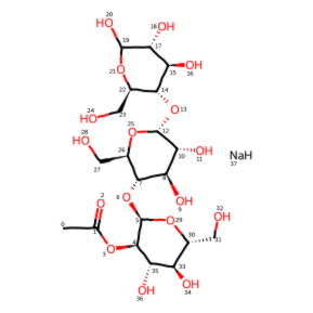 CC(=O)O[C@H]1[C@@H](O[C@H]2[C@H](O)[C@@H](O)[C@@H](O[C@H]3[C@H](O)[C@@H](O)C(O)O[C@@H]3CO)O[C@@H]2CO)O[C@H](CO)[C@@H](O)[C@@H]1O.[NaH]